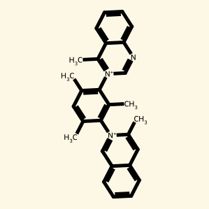 Cc1cc(C)c(-[n+]2cnc3ccccc3c2C)c(C)c1-[n+]1cc2ccccc2cc1C